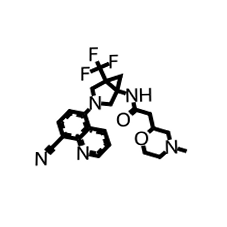 CN1CCOC(CC(=O)NC23CN(c4ccc(C#N)c5ncccc45)CC2(C(F)(F)F)C3)C1